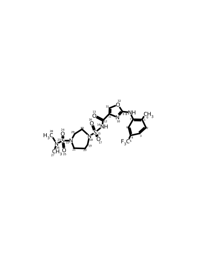 Cc1ccc(C(F)(F)F)cc1Nc1nc(C(=O)NS(=O)(=O)N2CCCN(S(=O)(=O)N(C)C)CC2)co1